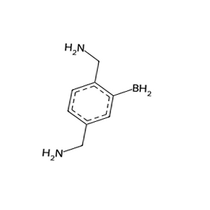 Bc1cc(CN)ccc1CN